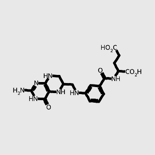 Nc1nc2c(c(=O)[nH]1)NC(CNc1cccc(C(=O)NC(CCC(=O)O)C(=O)O)c1)CN2